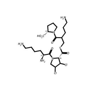 NCCCC[C@H](N)C(=O)N1CC(Cl)C(Cl)[C@H]1C(=O)SCC(CCCN)C(=O)N1CCC[C@H]1C(=O)O